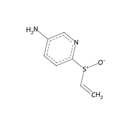 C=C[S+]([O-])c1ccc(N)cn1